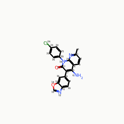 Cc1ccc2c(N)c(-c3ccc4ncoc4c3)c(=O)n(-c3ccc(Cl)cc3)c2n1